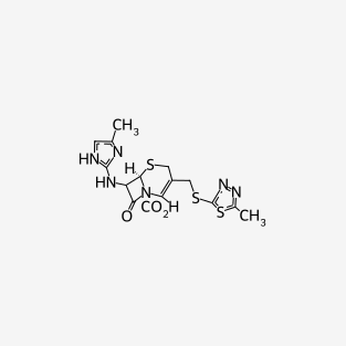 Cc1c[nH]c(NC2C(=O)N3C(C(=O)O)=C(CSc4nnc(C)s4)CS[C@H]23)n1